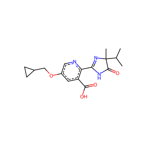 CC(C)C1(C)N=C(c2ncc(OCC3CC3)cc2C(=O)O)NC1=O